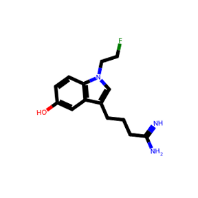 N=C(N)CCCc1cn(CCF)c2ccc(O)cc12